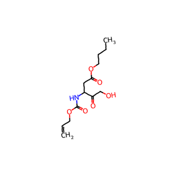 C=CCOC(=O)NC(CC(=O)OCCCC)C(=O)CO